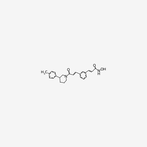 Cc1ccc(C2CCCN(C(=O)C=Cc3cccc(C=CC(=O)NO)c3)C2)cc1